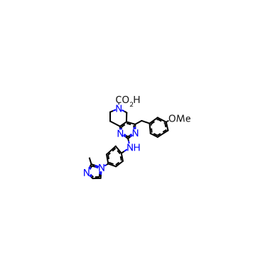 COc1cccc(Cc2nc(Nc3ccc(-n4ccnc4C)cc3)nc3c2CN(C(=O)O)CC3)c1